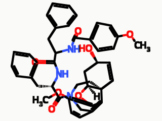 COc1ccc(C(=O)NC(Cc2ccccc2)C(=O)N[C@@H](Cc2ccccc2)C(=O)N2CC[C@@]34C=C[C@H](O)C[C@@H]3Oc3c(OC)ccc(c34)C2)cc1